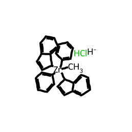 Cl.[CH3][Zr]([c]1ccccc1)([c]1ccccc1)([CH]1C=Cc2ccccc21)[CH]1C=Cc2ccccc21.[H-]